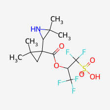 CC1(C)NC1C1(C(=O)OC(C(F)(F)F)C(F)(F)S(=O)(=O)O)CC1(C)C